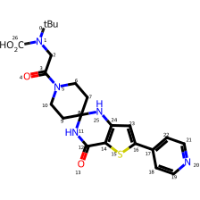 CC(C)(C)N(CC(=O)N1CCC2(CC1)NC(=O)c1sc(-c3ccncc3)cc1N2)C(=O)O